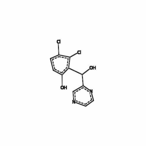 Oc1ccc(Cl)c(Cl)c1C(O)c1cnccn1